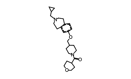 O=C(C1CCOCC1)N1CCC(COc2ccc3c(c2)CCN(CC2CC2)CC3)CC1